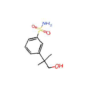 CC(C)(CO)c1cccc(S(N)(=O)=O)c1